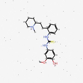 COc1cc(NC(=S)Nc2ccccc2CCC2CCCCN2C)ccc1O